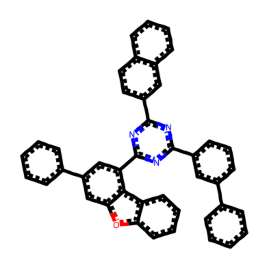 c1ccc(-c2cccc(-c3nc(-c4ccc5ccccc5c4)nc(-c4cc(-c5ccccc5)cc5oc6ccccc6c45)n3)c2)cc1